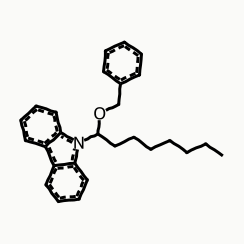 CCCCCCCC(OCc1ccccc1)n1c2ccccc2c2ccccc21